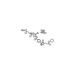 COC(=O)CCNC(=O)C1SC(=NC(=O)c2ccc(C(=N)NCCCC(=O)OC3CCCCC3)cc2)N(C2CC2)C1C.COS(=O)(=O)O